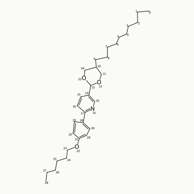 CCCCCCCCCCC1COC(c2ccc(-c3ccc(OCCCCCC)cc3)nc2)OC1